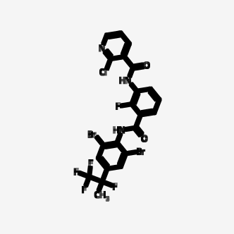 CC(F)(c1cc(Br)c(NC(=O)c2cccc(NC(=O)c3cccnc3Cl)c2F)c(Br)c1)C(F)(F)F